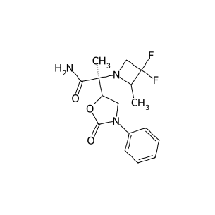 CC1N([C@](C)(C(N)=O)C2CN(c3ccccc3)C(=O)O2)CC1(F)F